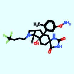 Cc1ccc(ON)cc1[C@]12CC3CN(CCCC(F)(F)F)[C@H]3[C@]1(O)CC[C@@]1(C2)NC(=O)NC1=O